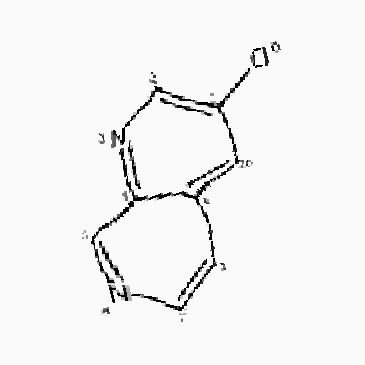 Clc1cnc2cn[c]cc2c1